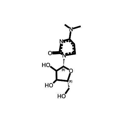 CN(C)c1ccn([C@@H]2O[C@H](CO)C(O)C2O)c(=O)n1